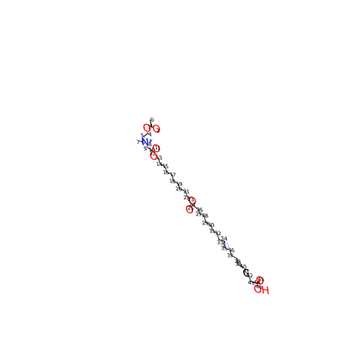 CC(=O)OCC[N+](C)(C)CC(=O)OCCCCCCCCCCOC(=O)CCCCCCCC/C=C/CCCCCCCCC(=O)O